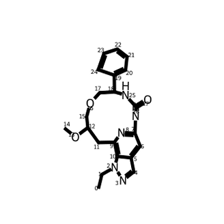 CCn1ncc2cc3nc(c21)CC(OC)COCC(c1ccccc1)NC(=O)N3